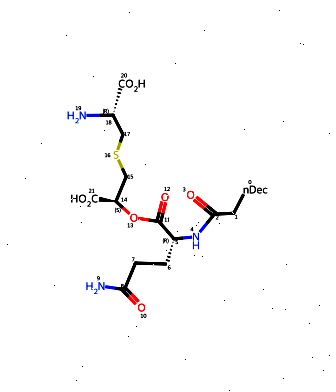 CCCCCCCCCCCC(=O)N[C@H](CCC(N)=O)C(=O)O[C@H](CSC[C@H](N)C(=O)O)C(=O)O